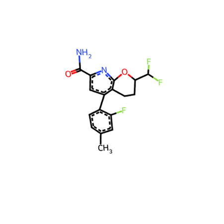 Cc1ccc(-c2cc(C(N)=O)nc3c2CCC(C(F)F)O3)c(F)c1